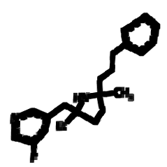 CCC1(Cc2cncc(F)c2)CCC(C)(CCCc2ccccc2)N1